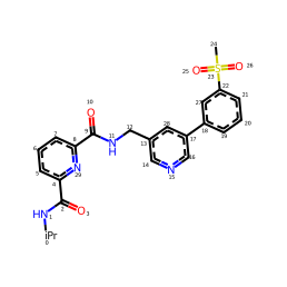 CC(C)NC(=O)c1cccc(C(=O)NCc2cncc(-c3cccc(S(C)(=O)=O)c3)c2)n1